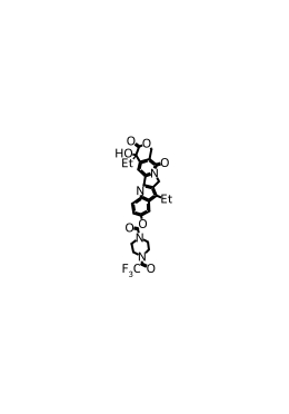 CCc1c2c(nc3ccc(OC(=O)N4CCN(C(=O)C(F)(F)F)CC4)cc13)-c1cc3c(c(=O)n1C2)COC(=O)[C@]3(O)CC